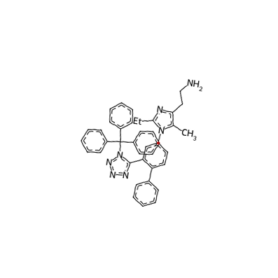 CCc1nc(CCN)c(C)n1-c1ccc(-c2ccccc2)c(-c2nnnn2C(c2ccccc2)(c2ccccc2)c2ccccc2)c1